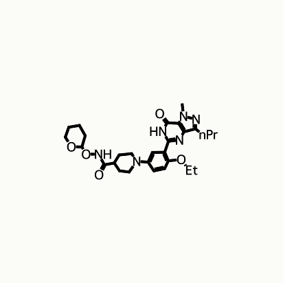 CCCc1nn(C)c2c(=O)[nH]c(-c3cc(N4CCC(C(=O)NOC5CCCCO5)CC4)ccc3OCC)nc12